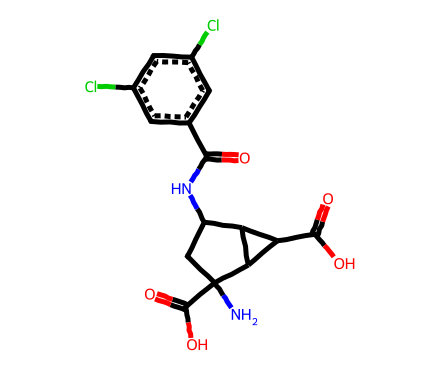 NC1(C(=O)O)CC(NC(=O)c2cc(Cl)cc(Cl)c2)C2C(C(=O)O)C21